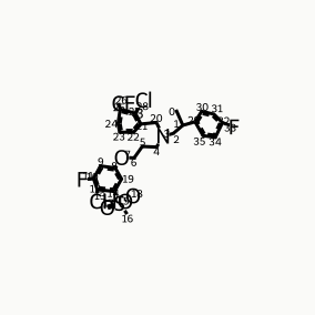 CC(CN(CCCOc1cc(F)c(C=O)c(S(C)(=O)=O)c1)Cc1cccc(C(F)(F)F)c1Cl)c1ccc(F)cc1